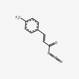 [N-]=[N+]=NC(=O)C=Cc1ccc(C(F)(F)F)cc1